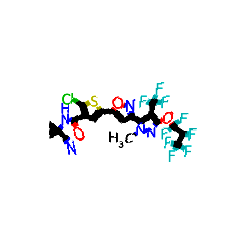 Cn1nc(OC(F)(F)C(F)C(F)(F)F)c(C(F)(F)F)c1-c1cc(-c2cc(C(=O)NC3(C#N)CC3)c(Cl)s2)on1